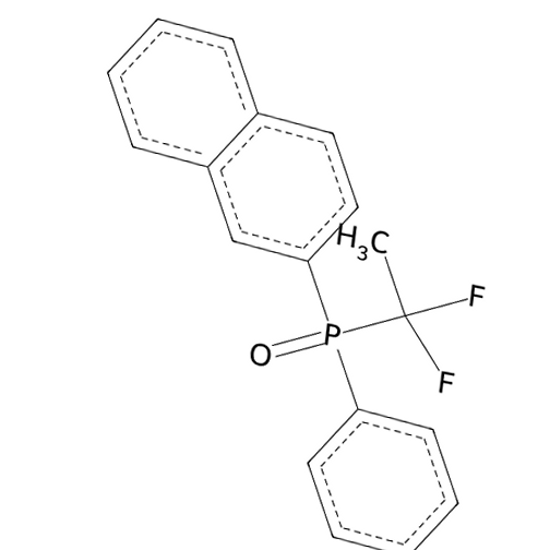 CC(F)(F)P(=O)(c1ccccc1)c1ccc2ccccc2c1